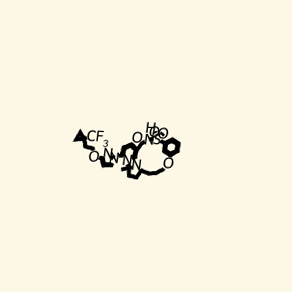 CC1(C)CCC2CCCOc3cccc(c3)S(=O)(=O)NC(=O)c3ccc(-n4ccc(OCCC5(C(F)(F)F)CC5)n4)nc3N21